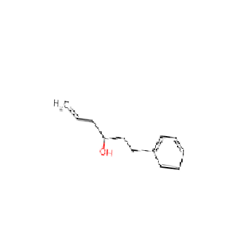 C=CCC(O)CCc1ccccc1